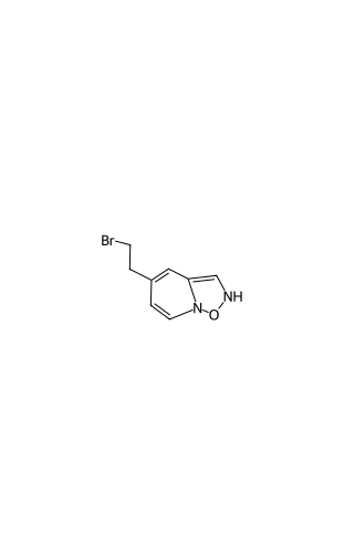 BrCCC1=CC2=CNON2C=C1